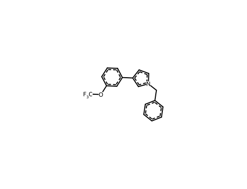 FC(F)(F)Oc1cccc(-c2ccn(Cc3ccccc3)c2)c1